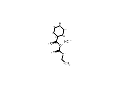 CCOC(=O)OC(=O)C1CCNCC1.Cl